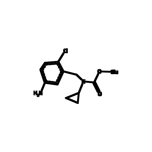 CC(C)(C)OC(=O)N(Cc1cc(N)ccc1Cl)C1CC1